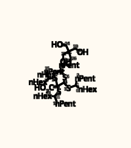 CCCCCCC(CCCCC)SC(SC(CCCCC)CCCCCC)C(SC(CCCCC)CCCCCC)(SC(CCCCC)CCCCCC)C(=O)O.OCC(CO)(CO)CO